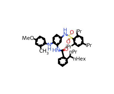 CCCCCCC(CCC)c1ccccc1C(=O)Nc1cc(NS(=O)(=O)c2c(C(C)C)cc(C(C)C)cc2C(C)C)ccc1Nc1ccc(OC)cc1C